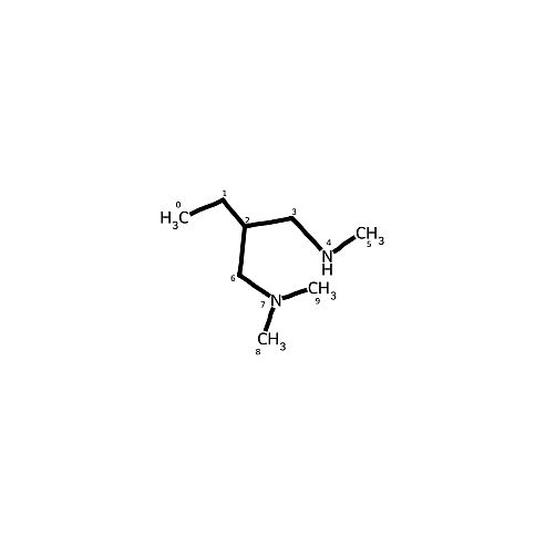 CCC(CNC)CN(C)C